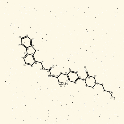 CCOCCN1CCN(c2ccc(C[C@H](NC(=O)OCc3cccc4c3Cc3ccccc3-4)C(=O)O)cc2)C(=O)C1